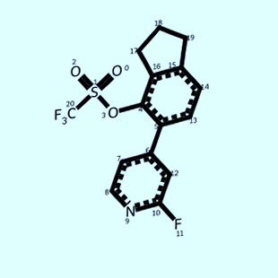 O=S(=O)(Oc1c(-c2ccnc(F)c2)ccc2c1CCC2)C(F)(F)F